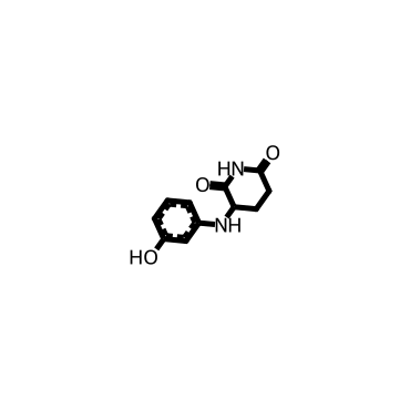 O=C1CCC(Nc2cccc(O)c2)C(=O)N1